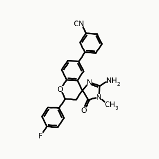 [C-]#[N+]c1cccc(-c2ccc3c(c2)C2(CC(c4ccc(F)cc4)O3)N=C(N)N(C)C2=O)c1